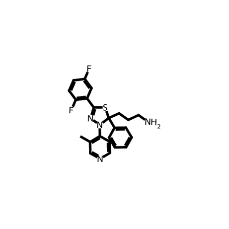 Cc1cnccc1N1N=C(c2cc(F)ccc2F)SC1(CCCN)c1ccccc1